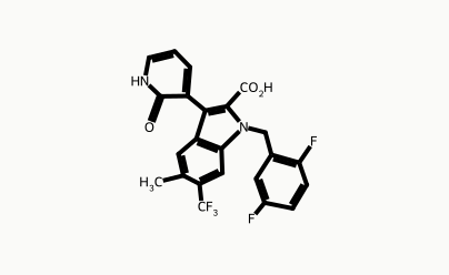 Cc1cc2c(-c3ccc[nH]c3=O)c(C(=O)O)n(Cc3cc(F)ccc3F)c2cc1C(F)(F)F